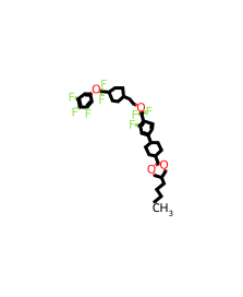 CCCCCC1COC(C2CCC(c3ccc(C(F)(F)OCCC4CCC(C(F)(F)Oc5cc(F)c(F)c(F)c5)CC4)c(F)c3)CC2)OC1